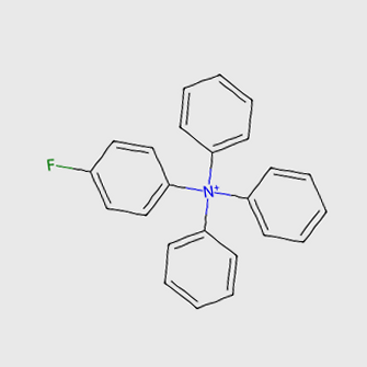 Fc1ccc([N+](c2ccccc2)(c2ccccc2)c2ccccc2)cc1